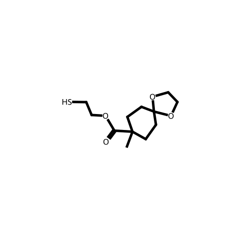 CC1(C(=O)OCCS)CCC2(CC1)OCCO2